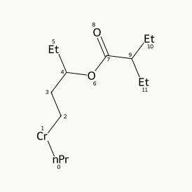 CC[CH2][Cr][CH2]CC(CC)OC(=O)C(CC)CC